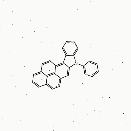 c1ccc(-n2c3ccccc3c3c4ccc5cccc6ccc(cc32)c4c65)cc1